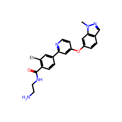 CCc1cc(-c2cc(Oc3ccc4cnn(C)c4c3)ccn2)ccc1C(=O)NCCN